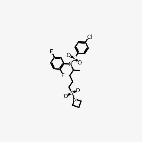 CC(CCCS(=O)(=O)N1CCC1)N(c1cc(F)ccc1F)S(=O)(=O)c1ccc(Cl)cc1